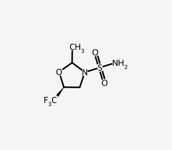 CC1O[C@H](C(F)(F)F)CN1S(N)(=O)=O